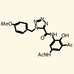 COc1ccc(Cn2nnnc2C(=O)Nc2cc(NC(C)=O)cc(C(C)=O)c2O)cc1